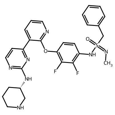 CN=S(=O)(Cc1ccccc1)Nc1ccc(Oc2ncccc2-c2ccnc(N[C@H]3CCCNC3)n2)c(F)c1F